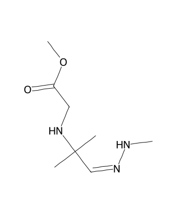 CN/N=C\C(C)(C)NCC(=O)OC